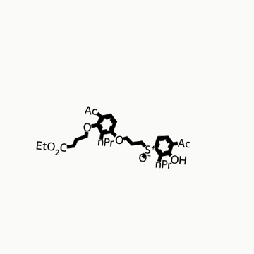 CCCc1c([S+]([O-])CCCOc2ccc(C(C)=O)c(OCCCC(=O)OCC)c2CCC)ccc(C(C)=O)c1O